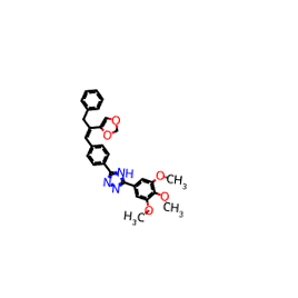 COc1cc(-c2nnc(-c3ccc(C=C(Cc4ccccc4)C4=COCO4)cc3)[nH]2)cc(OC)c1OC